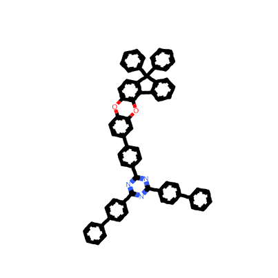 c1ccc(-c2ccc(-c3nc(-c4ccc(-c5ccccc5)cc4)nc(-c4ccc(-c5ccc6c(c5)Oc5c(ccc7c5-c5ccccc5C7(c5ccccc5)c5ccccc5)O6)cc4)n3)cc2)cc1